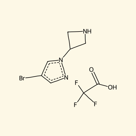 Brc1cnn(C2CNC2)c1.O=C(O)C(F)(F)F